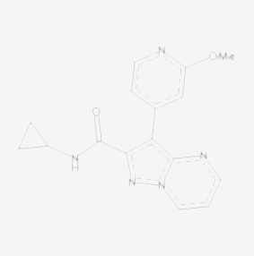 COc1cc(-c2c(C(=O)NC3CC3)nn3cccnc23)ccn1